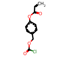 C=CC(=O)Oc1ccc(COC(=O)Cl)cc1